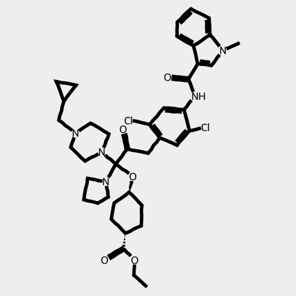 CCOC(=O)[C@H]1CC[C@H](OC(C(=O)Cc2cc(Cl)c(NC(=O)c3cn(C)c4ccccc34)cc2Cl)(N2CCCC2)N2CCN(CC3CC3)CC2)CC1